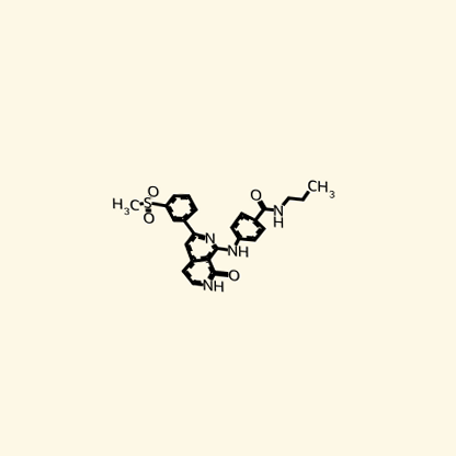 CCCNC(=O)c1ccc(Nc2nc(-c3cccc(S(C)(=O)=O)c3)cc3cc[nH]c(=O)c23)cc1